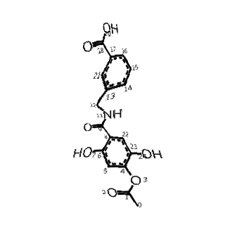 CC(=O)Oc1cc(O)c(C(=O)NCc2cccc(C(=O)O)c2)cc1O